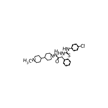 CN1CCC(C2CCN(NC(=O)[C@H](NC(=S)Nc3ccc(Cl)cc3)c3ccccc3)CC2)CC1